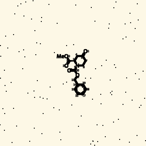 COC(=O)[C@H]1CC(=O)CCN1C(=O)OCc1ccccc1